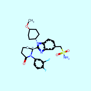 CO[C@H]1CC[C@H](n2c([C@@H]3CCCC(=O)N3c3ccc(F)c(F)c3)nc3cc(CS(N)(=O)=O)ccc32)CC1